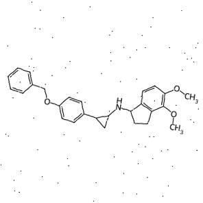 COc1ccc2c(c1OC)CCC2NC1CC1c1ccc(OCc2ccccc2)cc1